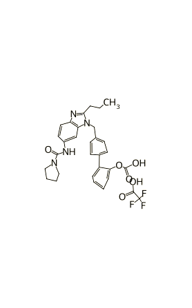 CCCc1nc2ccc(NC(=O)N3CCCC3)cc2n1Cc1ccc(-c2ccccc2OC(=O)O)cc1.O=C(O)C(F)(F)F